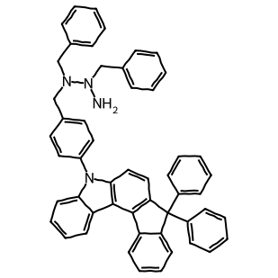 NN(Cc1ccccc1)N(Cc1ccccc1)Cc1ccc(-n2c3ccccc3c3c4c(ccc32)C(c2ccccc2)(c2ccccc2)c2ccccc2-4)cc1